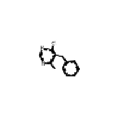 Cc1ncnc(Cl)c1Cc1ccccc1